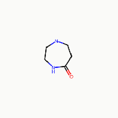 O=C1CC[N]CCN1